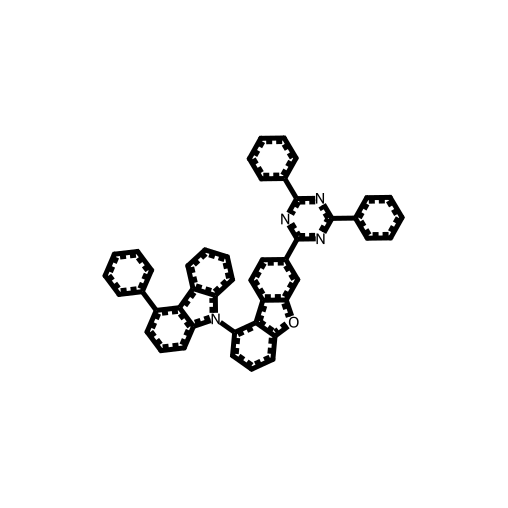 c1ccc(-c2nc(-c3ccccc3)nc(-c3ccc4c(c3)oc3cccc(-n5c6ccccc6c6c(-c7ccccc7)cccc65)c34)n2)cc1